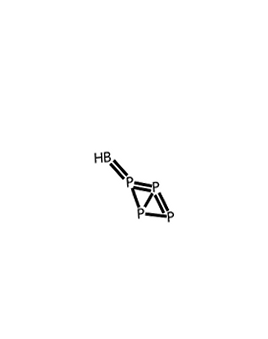 B=P1=P2=PP12